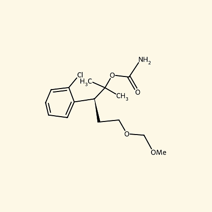 COCOCC[C@@H](c1ccccc1Cl)C(C)(C)OC(N)=O